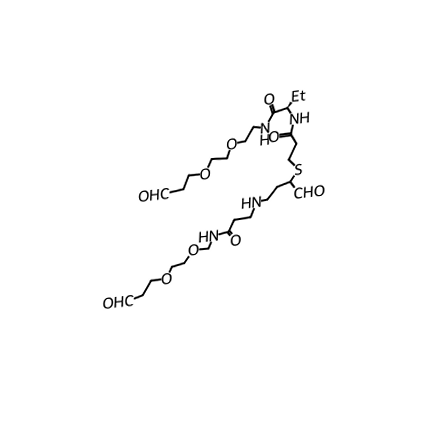 CC[C@@H](NC(=O)CCSC(C=O)CCNCCC(=O)NCOCCOCCC=O)C(=O)NCCOCCOCCC=O